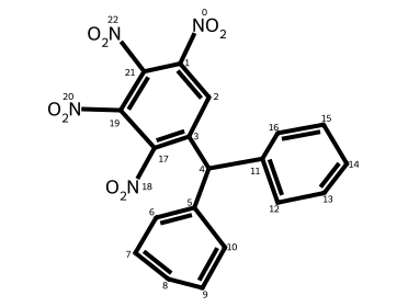 O=[N+]([O-])c1cc(C(c2ccccc2)c2ccccc2)c([N+](=O)[O-])c([N+](=O)[O-])c1[N+](=O)[O-]